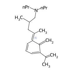 C=C(C)c1ccc/c(=C(/C)CC(C)CN(CCC)CCC)c1=C